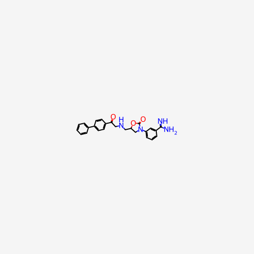 N=C(N)c1cccc(N2CC(CNCC(=O)c3ccc(-c4ccccc4)cc3)OC2=O)c1